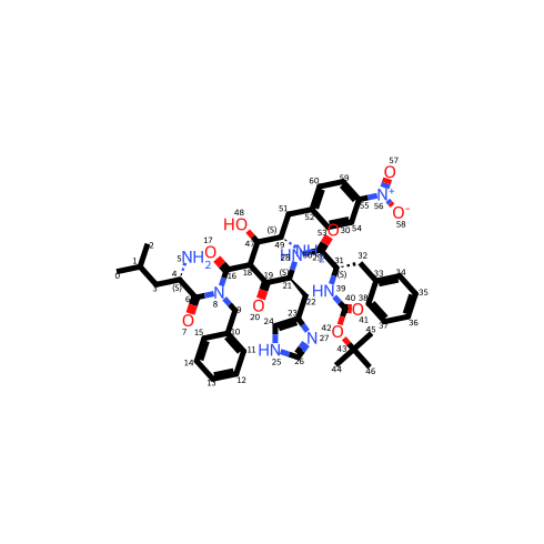 CC(C)C[C@H](N)C(=O)N(Cc1ccccc1)C(=O)C(C(=O)[C@H](Cc1c[nH]cn1)NC(=O)[C@H](Cc1ccccc1)NC(=O)OC(C)(C)C)C(O)[C@@H](N)Cc1ccc([N+](=O)[O-])cc1